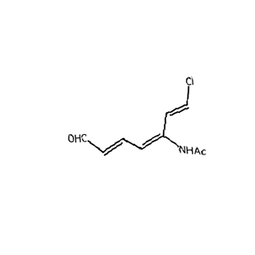 CC(=O)NC(/C=C/Cl)=C/C=C/C=O